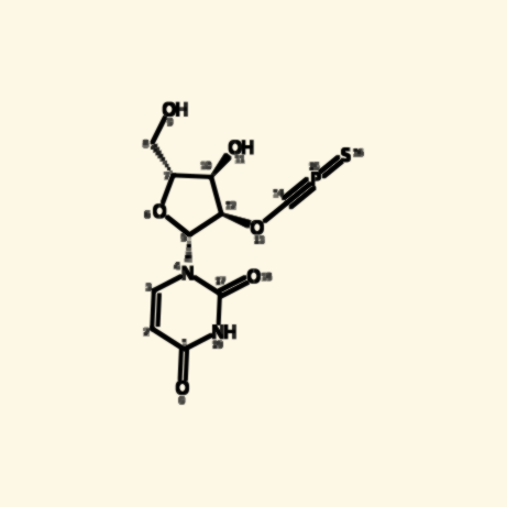 O=c1ccn([C@@H]2O[C@H](CO)[C@@H](O)[C@H]2OC#P=S)c(=O)[nH]1